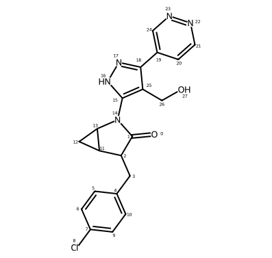 O=C1C(Cc2ccc(Cl)cc2)C2CC2N1c1[nH]nc(-c2ccnnc2)c1CO